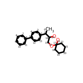 CC(c1ccc(-c2ccccc2)cc1)C1COC2(CCCCC2)OO1